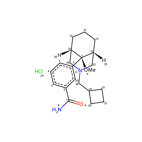 CO[C@]1(c2cccc(C(N)=O)c2)[C@@H]2CCC[C@H]1CN(CC1CCC1)C2.Cl